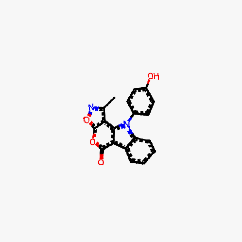 Cc1noc2oc(=O)c3c4ccccc4n(-c4ccc(O)cc4)c3c12